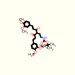 COc1ccc(/C=C/C(=O)C(CCNC(=O)OC(C)(C)C)C(=O)/C=C/c2ccc(OC)c(OC)c2)cc1OC